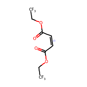 O=C(/C=C\C(=O)OCC(F)(F)F)OCC(F)(F)F